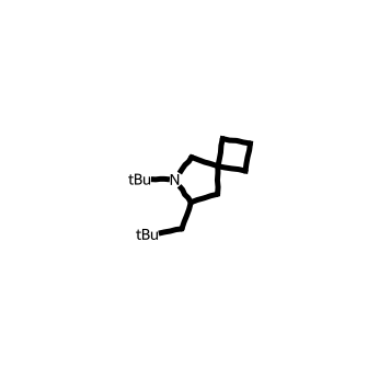 CC(C)(C)CC1CC2(CCC2)CN1C(C)(C)C